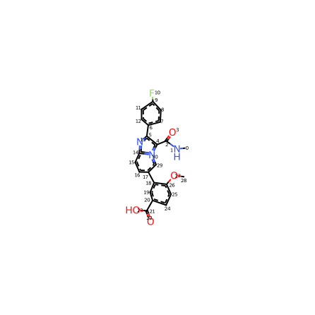 CNC(=O)c1c(-c2ccc(F)cc2)nc2ccc(-c3cc(C(=O)O)ccc3OC)cn12